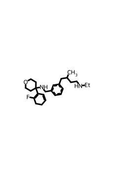 CCNCCC(C)Cc1cccc(CNC2(C3=C(F)CCC=C3)CCOCC2)c1